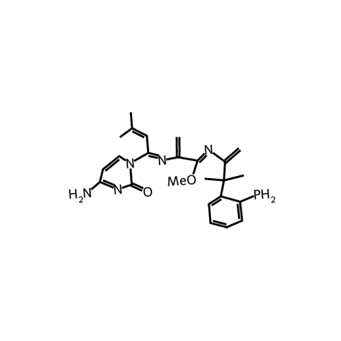 C=C(/N=C(\C=C(C)C)n1ccc(N)nc1=O)/C(=N/C(=C)C(C)(C)c1ccccc1P)OC